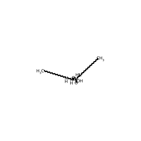 CCCCCCCCCCCCCCCCCCNCCCNC(=O)C[C@H](NCCCNCCCCCCCCCCCCCCCCCC)C(=O)O